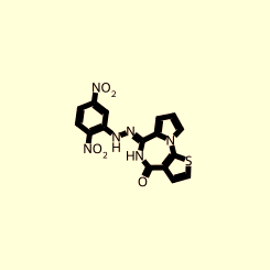 O=c1[nH]c(=NNc2cc([N+](=O)[O-])ccc2[N+](=O)[O-])c2cccn2c2sccc12